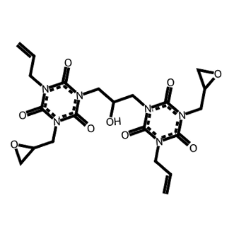 C=CCn1c(=O)n(CC(O)Cn2c(=O)n(CC=C)c(=O)n(CC3CO3)c2=O)c(=O)n(CC2CO2)c1=O